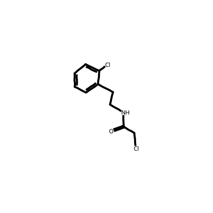 O=C(CCl)NCCc1ccccc1Cl